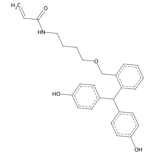 C=CC(=O)NCCCCOCc1ccccc1C(c1ccc(O)cc1)c1ccc(O)cc1